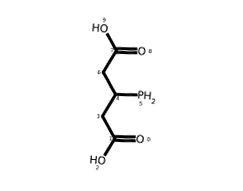 O=C(O)CC(P)CC(=O)O